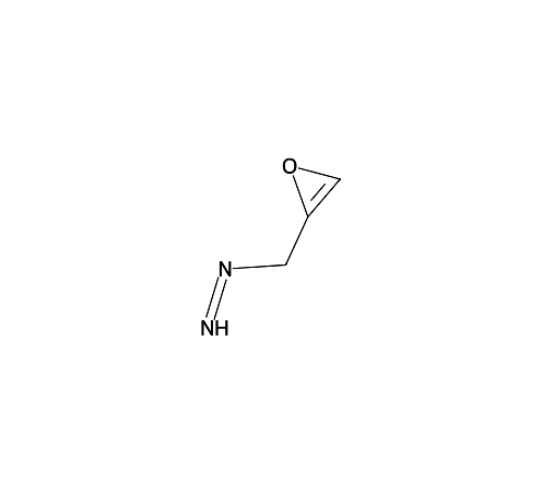 N=NCC1=CO1